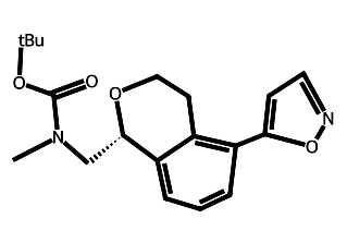 CN(C[C@@H]1OCCc2c(-c3ccno3)cccc21)C(=O)OC(C)(C)C